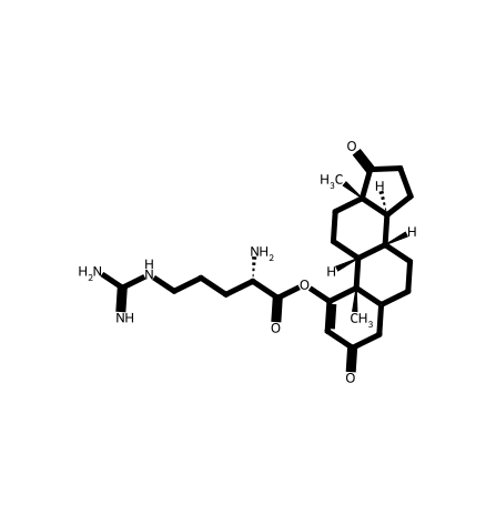 C[C@]12C(OC(=O)[C@@H](N)CCCNC(=N)N)=CC(=O)CC1CC[C@@H]1[C@H]2CC[C@]2(C)C(=O)CC[C@@H]12